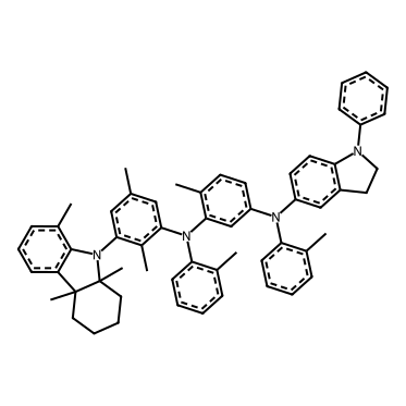 Cc1cc(N(c2ccccc2C)c2cc(N(c3ccc4c(c3)CCN4c3ccccc3)c3ccccc3C)ccc2C)c(C)c(N2c3c(C)cccc3C3(C)CCCCC23C)c1